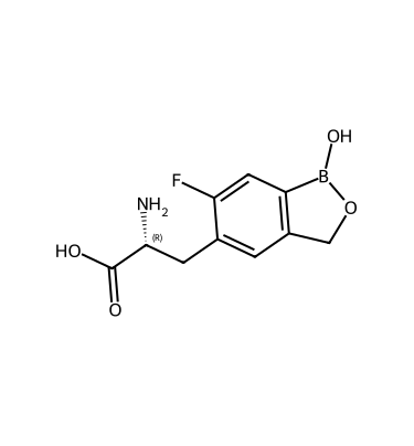 N[C@H](Cc1cc2c(cc1F)B(O)OC2)C(=O)O